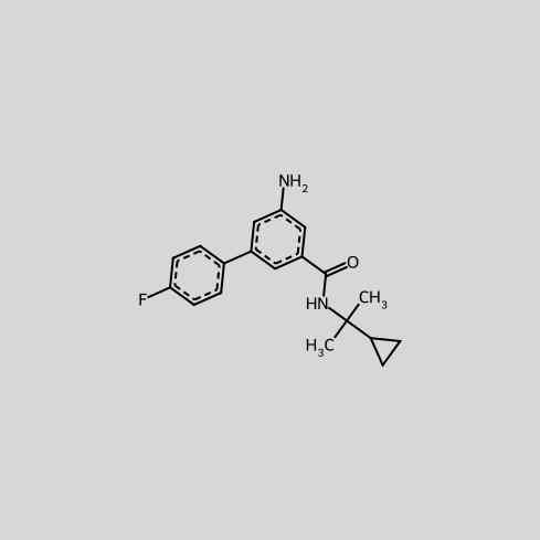 CC(C)(NC(=O)c1cc(N)cc(-c2ccc(F)cc2)c1)C1CC1